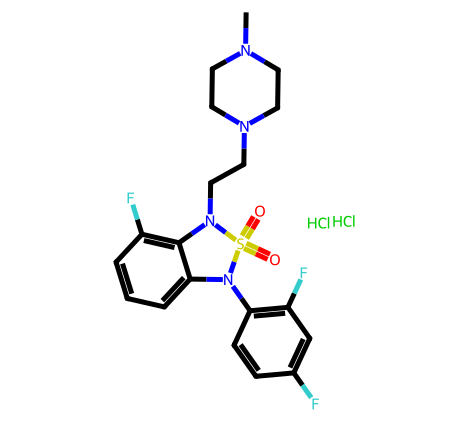 CN1CCN(CCN2c3c(F)cccc3N(c3ccc(F)cc3F)S2(=O)=O)CC1.Cl.Cl